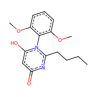 CCCCc1nc(=O)cc(O)n1-c1c(OC)cccc1OC